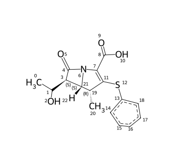 CC(O)[C@H]1C(=O)N2C(C(=O)O)=C(Sc3ccccc3)[C@H](C)[C@H]12